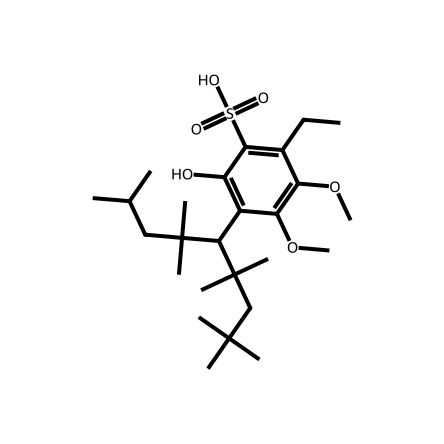 CCc1c(OC)c(OC)c(C(C(C)(C)CC(C)C)C(C)(C)CC(C)(C)C)c(O)c1S(=O)(=O)O